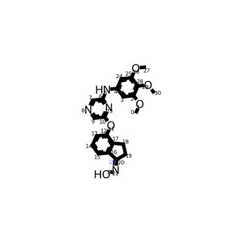 COc1cc(Nc2cncc(Oc3cccc4c3CC/C4=N/O)n2)cc(OC)c1OC